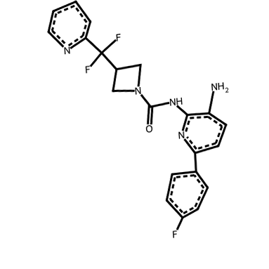 Nc1ccc(-c2ccc(F)cc2)nc1NC(=O)N1CC(C(F)(F)c2ccccn2)C1